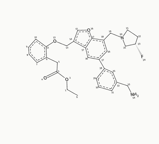 CCOC(=O)Cc1ccccc1OCc1coc2c(CN3CC[C@H](F)C3)cc(-c3cccc(CN)c3)cc12